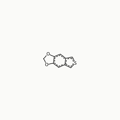 c1scc2cc3c(cc12)OCO3